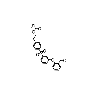 NC(=O)OCCc1ccc(S(=O)(=O)c2cccc(Oc3ccccc3C=O)c2)cc1